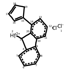 [Cl-].[Cl-].[Hf+2][CH]1c2ccccc2-c2cccc(C3=CC=CC3)c21